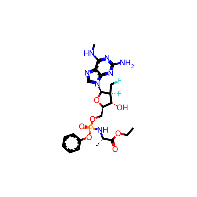 CCOC(=O)[C@H](C)NP(=O)(OC[C@H]1O[C@@H](n2cnc3c(NC)nc(N)nc32)[C@@](F)(CF)[C@@H]1O)Oc1ccccc1